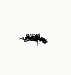 O=P(O)(O)CP(=O)(O)CC[C@H]1O[C@@H](n2cnc3c(Nc4ccc5c(c4)-c4ccccc4C5)nc(Cl)nc32)C(O)[C@H]1O